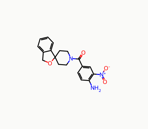 Nc1ccc(C(=O)N2CCC3(CC2)OCc2ccccc23)cc1[N+](=O)[O-]